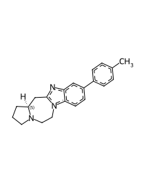 Cc1ccc(-c2ccc3c(c2)nc2n3CCN3CCC[C@H]3C2)cc1